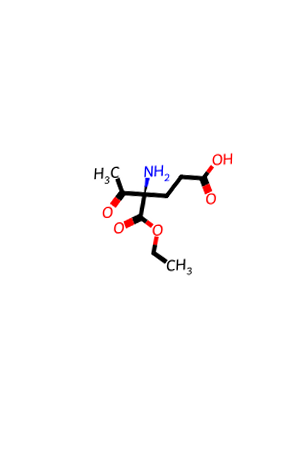 CCOC(=O)[C@@](N)(CCC(=O)O)C(C)=O